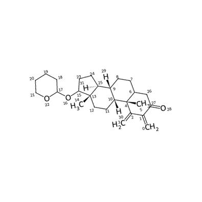 C=C1C(=C)[C@@]2(C)C(CC[C@@H]3[C@H]2CC[C@]2(C)C(OC4CCCCO4)CC[C@@H]32)CC1=O